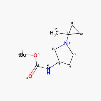 CC(C)(C)OC(=O)NC1CCN(C2(C)CC2)C1